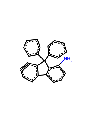 Nc1cccc2c1C(c1ccccc1)(c1ccccc1)c1c#cccc1-2